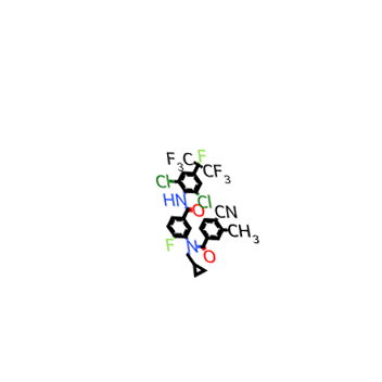 Cc1cc(C(=O)N(CC2CC2)c2cc(C(=O)Nc3c(Cl)cc(C(F)(C(F)(F)F)C(F)(F)F)cc3Cl)ccc2F)ccc1C#N